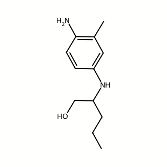 CCCC(CO)Nc1ccc(N)c(C)c1